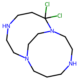 ClC1(Cl)CCNCCN2CCCNCCN1CC2